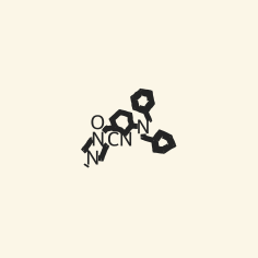 CN1CCN(C(=O)C2(C#N)CCCC(N(Cc3ccccc3)Cc3ccccc3)C2)CC1